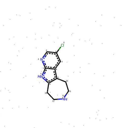 Clc1cnc2[nH]c3c(c2c1)CCNCC3